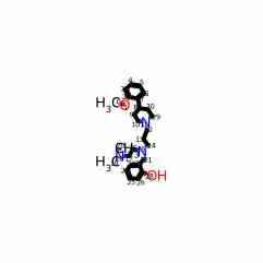 COc1ccccc1C1CCN(CCCN(CCN(C)C)Cc2ccccc2O)CC1